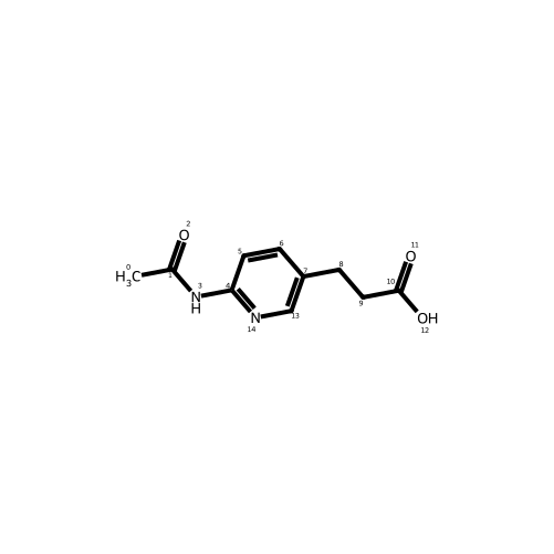 CC(=O)Nc1ccc(CCC(=O)O)cn1